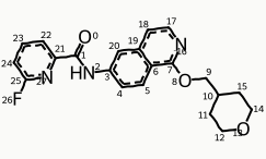 O=C(Nc1ccc2c(OCC3CCOCC3)nccc2c1)c1cccc(F)n1